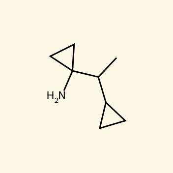 CC(C1CC1)C1(N)CC1